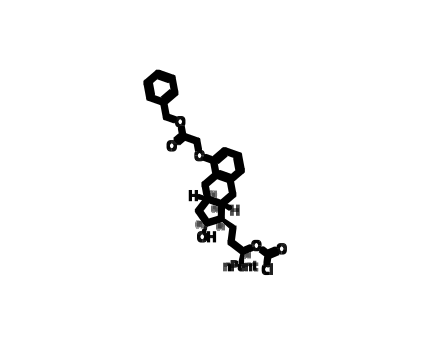 CCCCC[C@@H](CC[C@@H]1[C@H]2Cc3cccc(OCC(=O)OCc4ccccc4)c3C[C@H]2C[C@H]1O)OC(=O)Cl